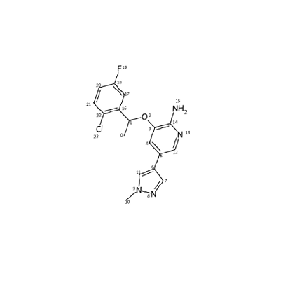 CC(Oc1cc(-c2cnn(C)c2)cnc1N)c1cc(F)ccc1Cl